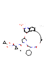 C=C[C@@H]1CC1(NC(=O)[C@@H]1C[C@@H]2CN1C(=O)[C@H](C1CCCCC1)NC(=O)OCC(C)(C)CCCc1cc3c(cc(OS(=O)(=O)C(F)(F)F)nc3cc1OC)O2)C(=O)NS(=O)(=O)C1CC1